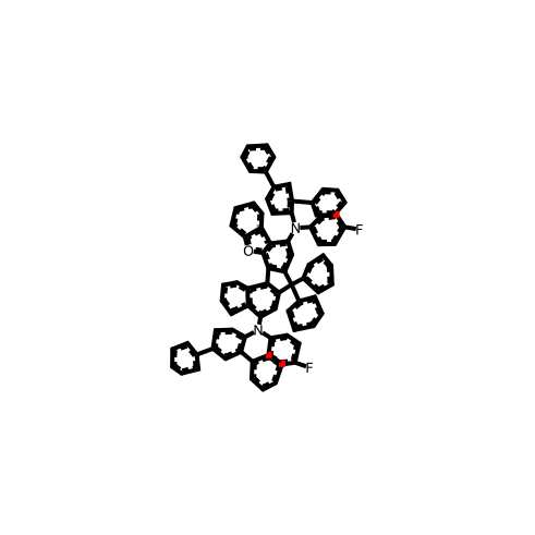 Fc1ccc(N(c2ccc(-c3ccccc3)cc2-c2ccccc2)c2cc3c(c4ccccc24)-c2c(cc(N(c4ccc(F)cc4)c4ccc(-c5ccccc5)cc4-c4ccccc4)c4c2oc2ccccc24)C3(c2ccccc2)c2ccccc2)cc1